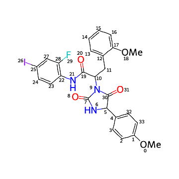 COc1ccc(C2NC(=O)N(C(Cc3ccccc3OC)C(=O)Nc3ccc(I)cc3F)C2=O)cc1